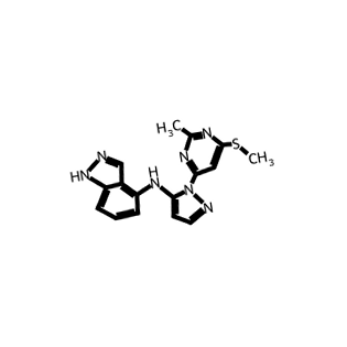 CSc1cc(-n2nccc2Nc2cccc3[nH]ncc23)nc(C)n1